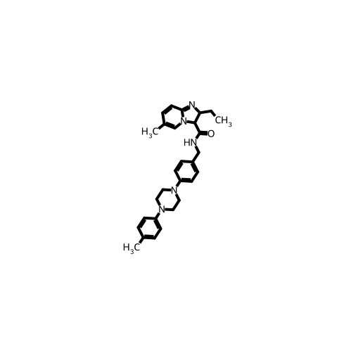 CCC1N=C2C=CC(C)=CN2C1C(=O)NCc1ccc(N2CCN(c3ccc(C)cc3)CC2)cc1